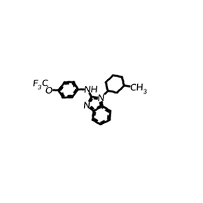 CC1CCCC(n2c(Nc3ccc(OC(F)(F)F)cc3)nc3ccccc32)C1